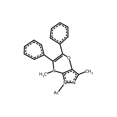 CC(=O)n1nc(C)c2c1N(C)C(c1ccccc1)=C(c1ccccc1)O2